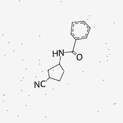 N#CC1CCC(NC(=O)c2ccccc2)C1